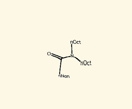 CCCCCCCCCC(=O)N(CCCCCCCC)CCCCCCCC